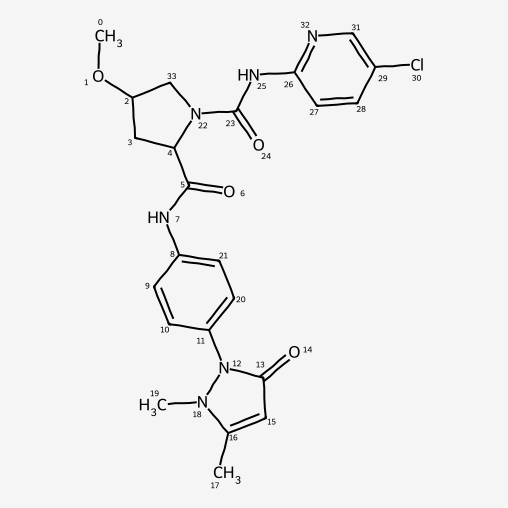 COC1CC(C(=O)Nc2ccc(-n3c(=O)cc(C)n3C)cc2)N(C(=O)Nc2ccc(Cl)cn2)C1